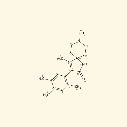 CC(=O)OC1=C(c2cc(C)c(C)cc2C)C(=O)NC12CCC(C)CC2